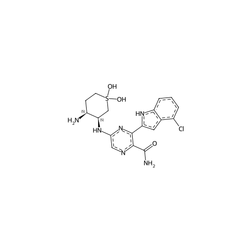 NC(=O)c1ncc(N[C@@H]2CS(O)(O)CC[C@@H]2N)nc1-c1cc2c(Cl)cccc2[nH]1